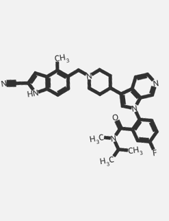 Cc1c(CN2CCC(c3cn(-c4ccc(F)cc4C(=O)N(C)C(C)C)c4cnccc34)CC2)ccc2[nH]c(C#N)cc12